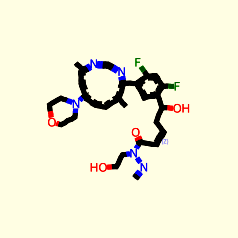 C=NN(CCO)C(=O)/C=C\CC(O)c1cc(-c2ncnc(C)cc(N3CCOCC3)ccc2C)c(F)cc1F